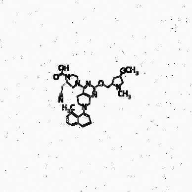 CO[C@@H]1C[C@H](COc2nc3c(c(N4CCN(C(=O)O)[C@@H](CC#N)C4)n2)CCN(c2cccc4cccc(C)c24)C3)N(C)C1